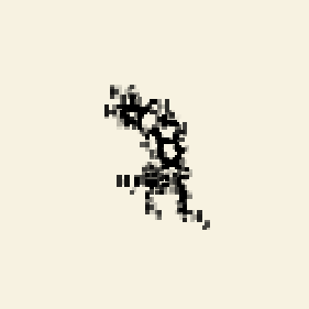 COCCOc1cc2ncnc(Nc3n[nH]c(C)c3C)c2cc1S(=O)(=O)C(C)(C)C